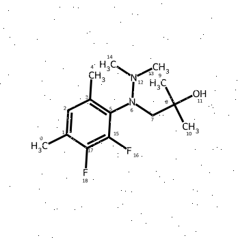 Cc1cc(C)c(N(CC(C)(C)O)N(C)C)c(F)c1F